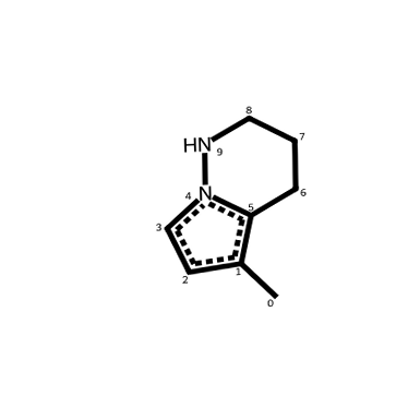 Cc1ccn2c1CCCN2